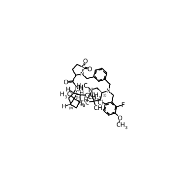 COc1ccc(Cl)c(CN(Cc2cccc(CN3C(C(=O)N[C@H]4C[C@H]5C[C@H]([C@@H]4C)C5(C)C)CCS3(=O)=O)c2)[C@H](CN(C)C)CC(C)(C)C)c1F